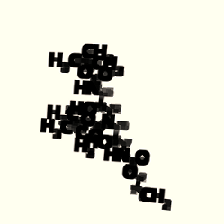 C=CCOC(=O)NC[C@H](O)CN(C[C@@H](O)CNC(=O)OC(C)(C)C)C(=O)OC(C)(C)C